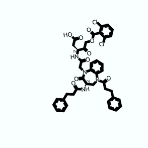 O=C(O)C[C@H](NC(=O)CN1C(=O)[C@@H](NC(=O)CCc2ccccc2)CN(C(=O)CCc2ccccc2)c2ccccc21)C(=O)COC(=O)c1c(Cl)cccc1Cl